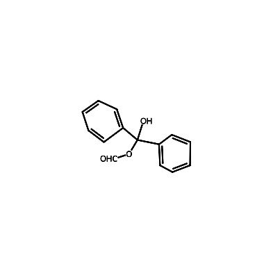 O=COC(O)(c1ccccc1)c1ccccc1